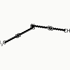 CCCCCCCCCCCCSSSSCCCCCCCCCCCCc1nnc(CCCCCCCCCCCCSSSSCCCCCCCCCCCC)s1